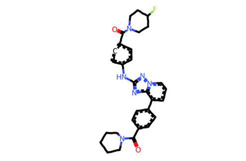 O=C(c1ccc(-c2cccn3nc(Nc4ccc(C(=O)N5CCC(F)CC5)cc4)nc23)cc1)N1CCCCC1